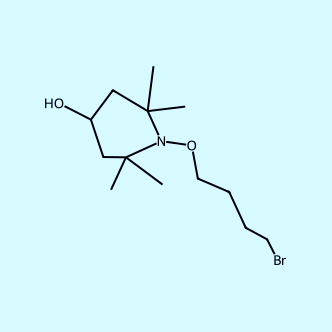 CC1(C)CC(O)CC(C)(C)N1OCCCCBr